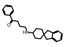 O=C(CCCNC1CCC2(CC1)Cc1ccccc1C2)c1ccccc1